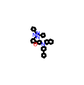 c1ccc(-c2ccc(N(c3ccc4ccccc4c3)c3ccc4c(c3)oc3cccc(-c5nc(-c6ccccc6)nc(-c6ccccc6)n5)c34)cc2)cc1